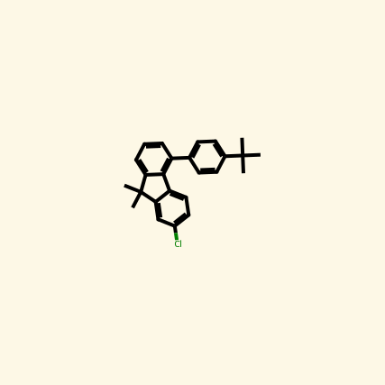 CC(C)(C)c1ccc(-c2cccc3c2-c2ccc(Cl)cc2C3(C)C)cc1